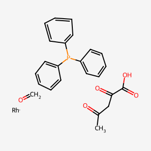 C=O.CC(=O)CC(=O)C(=O)O.[Rh].c1ccc(P(c2ccccc2)c2ccccc2)cc1